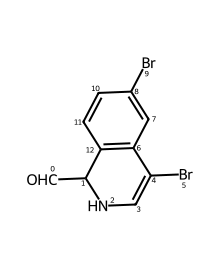 O=CC1NC=C(Br)c2cc(Br)ccc21